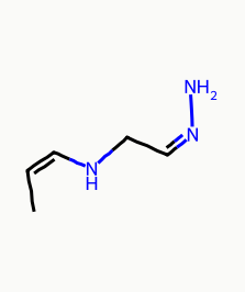 C/C=C\NC/C=N\N